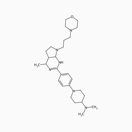 CC1N=C(c2ccc(N3CCC(N(C)C)CC3)cc2)NC2C1CCN2CCCN1CCOCC1